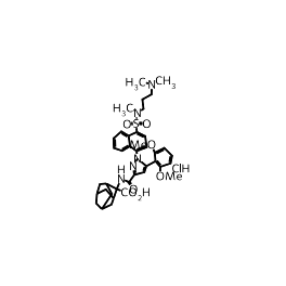 COc1cccc(OC)c1-c1cc(C(=O)NC2(C(=O)O)C3CC4CC(C3)CC2C4)nn1-c1ccc(S(=O)(=O)N(C)CCCN(C)C)c2ccccc12.Cl